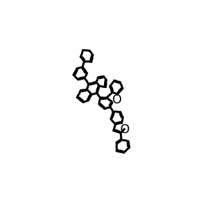 C1=CC(c2cccc(-c3c4ccccc4c(-c4ccc(-c5ccc6oc(-c7ccccc7)cc6c5)c5oc6ccccc6c45)c4ccccc34)c2)=CCC1